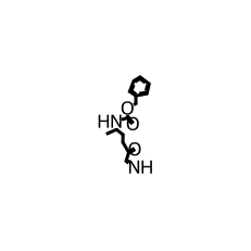 CC(CCC(=O)C=N)NC(=O)OCc1ccccc1